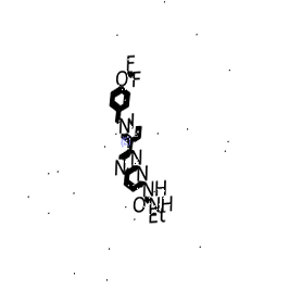 C=C/C(=C\N(I)Cc1ccc(OC(F)F)cc1)c1cnc2ccc(NC(=O)NCC)nc2n1